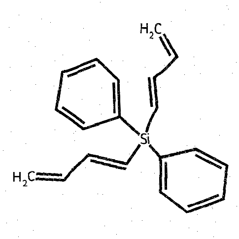 C=CC=C[Si](C=CC=C)(c1ccccc1)c1ccccc1